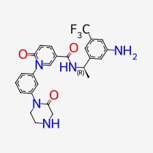 C[C@@H](NC(=O)c1ccc(=O)n(-c2cccc(N3CCNCC3=O)c2)c1)c1cc(N)cc(C(F)(F)F)c1